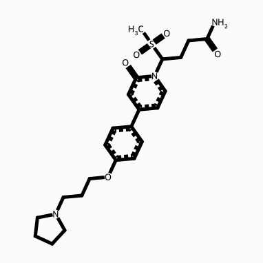 CS(=O)(=O)C(CCC(N)=O)n1ccc(-c2ccc(OCCCN3CCCC3)cc2)cc1=O